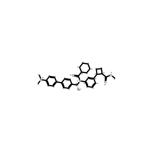 [2H][C@H](c1ccc(-c2ccc(N(C)C)cc2)cc1)N(C(=O)C1CCCCC1)c1cccc(C2CCC2C(=O)OC)c1